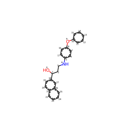 OC(CCNc1ccc(Oc2ccccc2)cc1)c1ccc2ccccc2c1